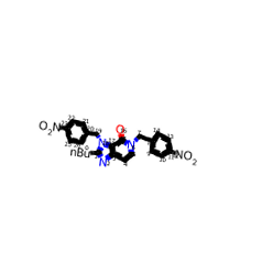 CCCCc1nc2ccn(Cc3ccc([N+](=O)[O-])cc3)c(=O)c2n1Cc1ccc([N+](=O)[O-])cc1